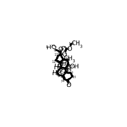 CCOC(=O)O[C@]1(C(=O)CO)CC[C@H]2[C@@H]3CCC4=CC(=O)CC[C@]4(C)[C@H]3[C@@H](O)C[C@@]21C